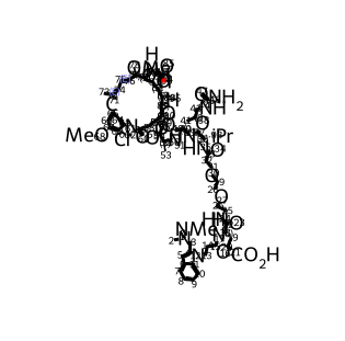 CNN(C)Cc1cc2ccccc2n1CCC(=O)N[C@@H](CCC(=O)O)C(=O)NCCOCCOCCC(=O)N[C@H](C(=O)N[C@@H](CCCNC(N)=O)C(=O)N(C)[C@@H](C)C(=O)O[C@H]1CC(=O)N(C)c2cc(cc(OC)c2Cl)C/C(C)=C/C=C/[C@@H](OC)[C@@]2(O)C[C@H](OC(=O)N2)[C@@H](C)[C@@H]2O[C@@]12C)C(C)C